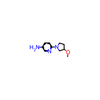 COC1CCN(c2ccc(N)cn2)C1